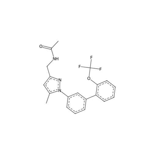 CC(=O)NCc1cc(C)n(-c2cccc(-c3ccccc3OC(F)(F)F)c2)n1